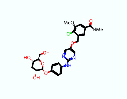 CNC(=O)c1cc(COc2cnc(Nc3ccc(O[C@@H]4O[C@H](CO)[C@@H](O)C[C@H]4O)cc3)nc2)c(Cl)c(OC)c1